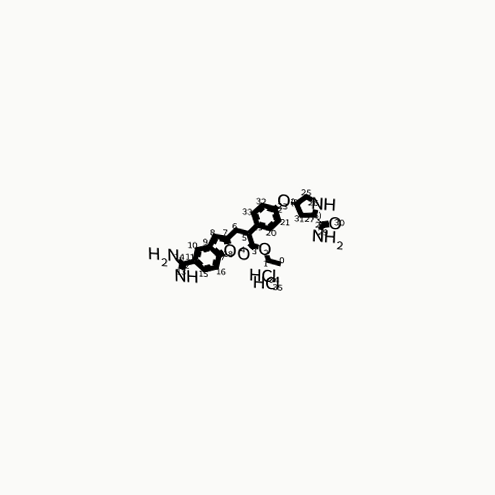 CCOC(=O)C(Cc1cc2cc(C(=N)N)ccc2o1)c1ccc(O[C@@H]2CN[C@H](C(N)=O)C2)cc1.Cl.Cl